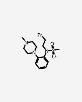 CC(C)CCN(c1ccccc1N1CCN(C)CC1)S(C)(=O)=O